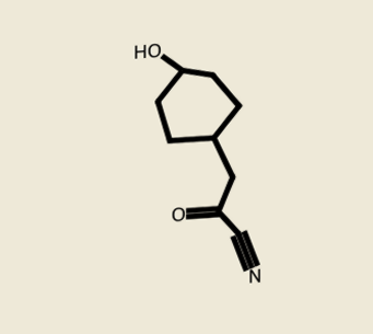 N#CC(=O)CC1CCC(O)CC1